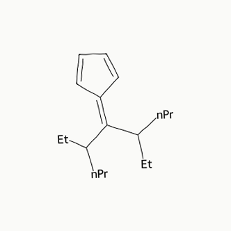 CCCC(CC)C(=C1C=CC=C1)C(CC)CCC